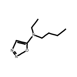 CCCCN(CC)c1[c]nno1